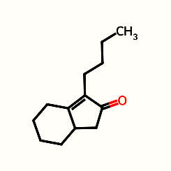 CCCCC1=C2CCCCC2CC1=O